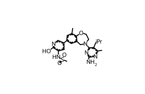 Cc1cc(-c2cnc(O)c(NS(C)(=O)=O)c2)cc2c1OCCN(c1nc(N)nc(C)c1C(C)C)C2